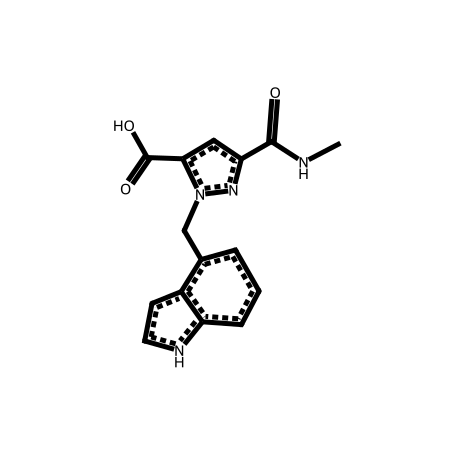 CNC(=O)c1cc(C(=O)O)n(Cc2cccc3[nH]ccc23)n1